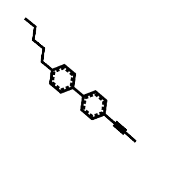 CC#Cc1ccc(-c2ccc(CCCCC)cc2)cc1